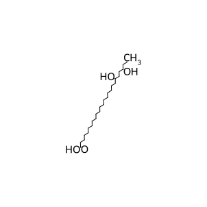 CCCC(O)CCC(O)CCCCCCCCCCCCCCCCCCC(=O)O